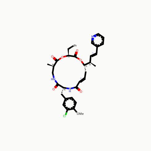 COc1ccc(C[C@H]2NC(=O)/C=C/C[C@@H]([C@H](C)/C=C/c3cccnc3)OC(=O)[C@H](CC(C)C)OC(=O)[C@H](C)CNC2=O)cc1Cl